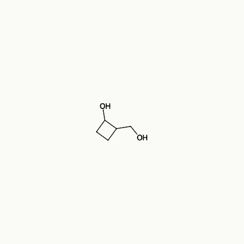 OCC1CCC1O